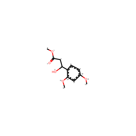 COC(=O)CC(O)c1ccc(OC)cc1OC